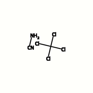 ClC(Cl)(Cl)Cl.N#CN